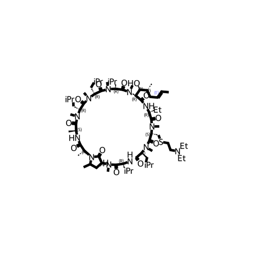 C/C=C/C[C@@H](C)[C@@H](O)[C@@H]1C(=O)N[C@H](CC)C(=O)N(C)[C@H](CSCCN(CC)CC)C(=O)N(C)[C@@H](CC(C)C)C(=O)N[C@H](C(C)C)C(=O)N(C)[C@@H]2CC(C)N(C2=O)[C@H](C)C(=O)N[C@@H](C)C(=O)N(C)[C@H](CC(C)C)C(=O)N(C)[C@H](CC(C)C)C(=O)N(C)[C@H](C(C)C)C(=O)N1C